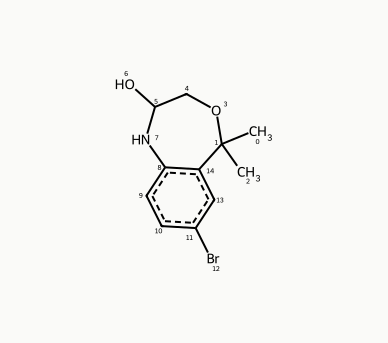 CC1(C)OCC(O)Nc2ccc(Br)cc21